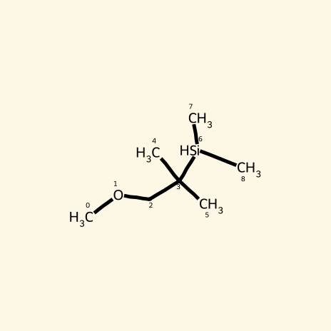 COCC(C)(C)[SiH](C)C